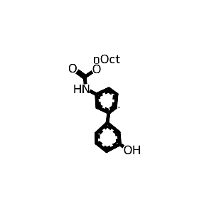 CCCCCCCCOC(=O)Nc1cc[c]c(-c2cccc(O)c2)c1